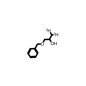 [2H]C([2H])C(O)COCc1ccccc1